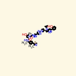 Cc1ncsc1-c1ccc(C(C)NC(=O)[C@@H]2C[C@@H](O)CN2C(=O)C(C(C)C)n2cc(-c3cnc(N4CC[C@H](c5cc6nnc(-c7ccccc7O)cc6n5C5CC5)C4)nc3)nn2)cc1